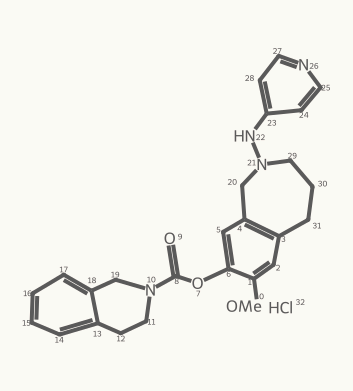 COc1cc2c(cc1OC(=O)N1CCc3ccccc3C1)CN(Nc1ccncc1)CCC2.Cl